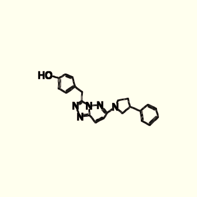 Oc1ccc(Cc2nnc3ccc(N4CCC(c5ccccc5)C4)nn23)cc1